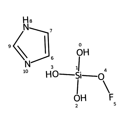 O[Si](O)(O)OF.c1c[nH]cn1